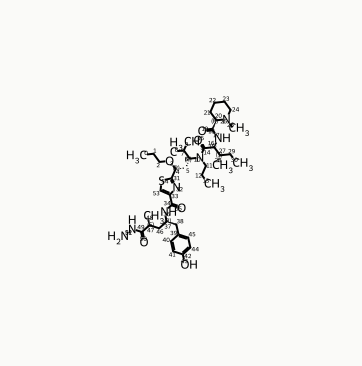 CCCO[C@H](C[C@H](C(C)C)N(CCC)C(=O)[C@@H](NC(=O)[C@H]1CCCCN1C)[C@@H](C)CC)c1nc(C(=O)N[C@@H](Cc2ccc(O)cc2)C[C@H](C)C(=O)NN)cs1